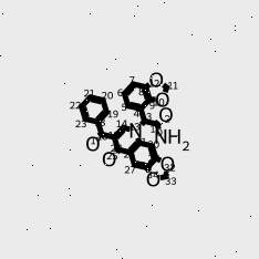 NC(=O)C(c1cccc2c1OCO2)n1cc(C(=O)c2ccccc2)c(=O)c2cc3c(cc21)OCO3